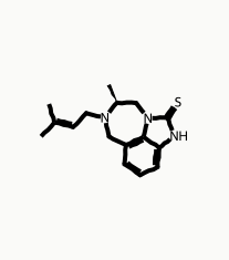 CC(C)=CCN1Cc2cccc3[nH]c(=S)n(c23)C[C@@H]1C